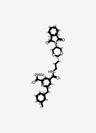 CNC(=O)c1cc(C(=O)NCCC[C@H]2OC[C@H](N3C(=O)c4ccccc4C3=O)CO2)cc(Cc2cccc(C)c2)n1